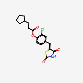 O=C(CCC1CCCC1)Oc1ccc(/C=C2\SC(=O)NC2=O)cc1Cl